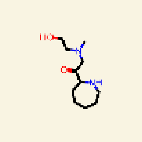 CN(CCO)CC(=O)C1CCCCCN1